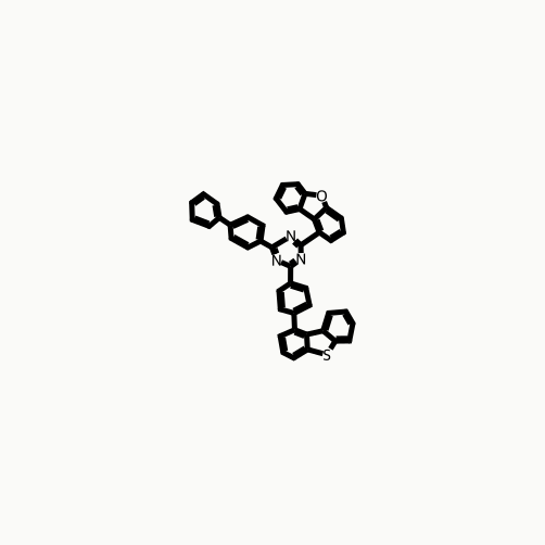 c1ccc(-c2ccc(-c3nc(-c4ccc(-c5cccc6sc7ccccc7c56)cc4)nc(-c4cccc5oc6ccccc6c45)n3)cc2)cc1